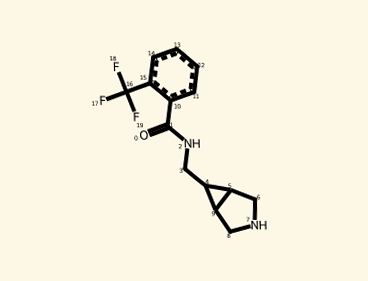 O=C(NCC1C2CNCC21)c1ccccc1C(F)(F)F